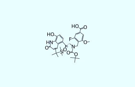 COc1cc(C(=O)O)cc(F)c1CN(C[C@H](O[Si](C)(C)C(C)(C)C)c1ccc(O)c2[nH]c(=O)ccc12)C(=O)OC(C)(C)C